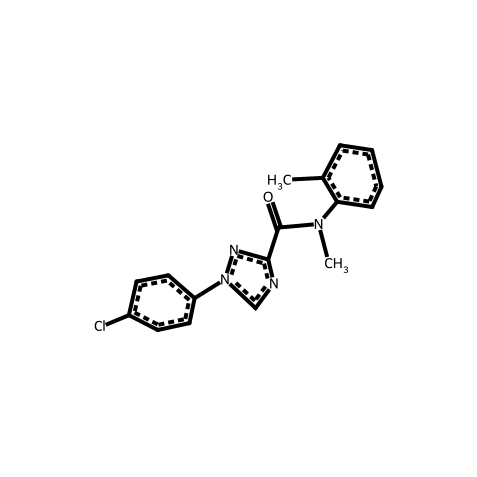 Cc1ccccc1N(C)C(=O)c1ncn(-c2ccc(Cl)cc2)n1